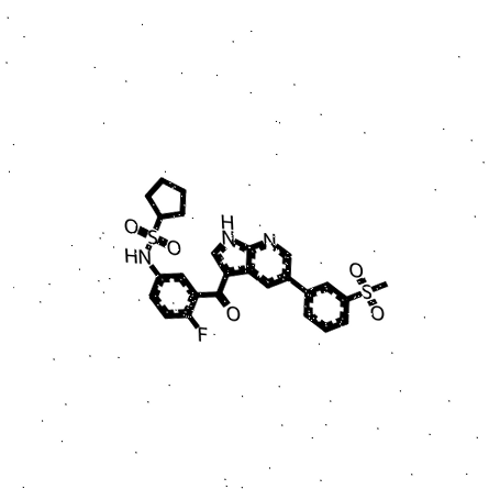 CS(=O)(=O)c1cccc(-c2cnc3[nH]cc(C(=O)c4cc(NS(=O)(=O)C5CCCC5)ccc4F)c3c2)c1